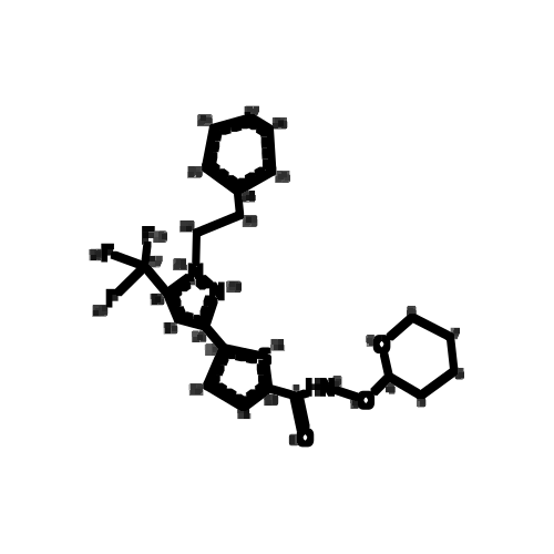 O=C(NOC1CCCCO1)c1ccc(-c2cc(C(F)(F)F)n(CCc3ccccc3)n2)s1